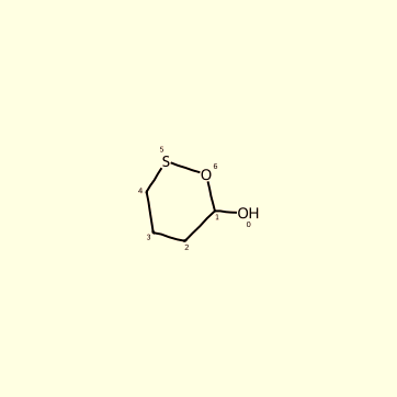 OC1CCCSO1